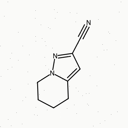 N#Cc1cc2n(n1)CCCC2